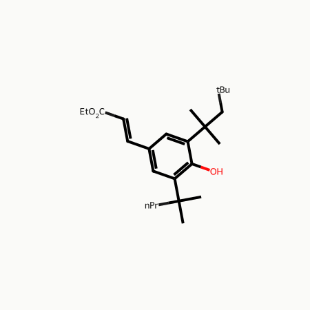 CCCC(C)(C)c1cc(/C=C/C(=O)OCC)cc(C(C)(C)CC(C)(C)C)c1O